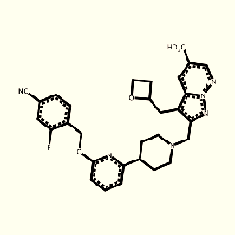 N#Cc1ccc(COc2cccc(C3CCN(Cc4nn5ncc(C(=O)O)cc5c4CC4CCO4)CC3)n2)c(F)c1